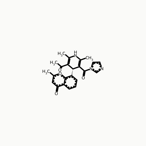 CC(=O)C1=C(C)NC(C)=C(C(=O)n2ccnc2)[C@@H]1c1cccc2c(=O)cc(C)oc12